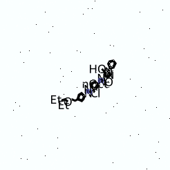 CCCCCCCCOc1nn(-c2ccccc2)c(O)c1/N=N/c1ccc(/N=N/c2ccc(CCOCC(CC)CC)cc2)c(Cl)c1